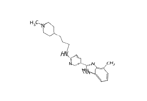 Cc1cccc2[nH]c(-c3ccc(NCCCC4CCN(C)CC4)nc3)nc12